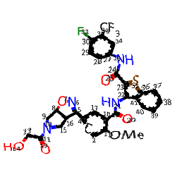 COc1ccc(C2=NOC3CN(C(=O)CO)CC23)cc1C(=O)Nc1c(C(=O)Nc2ccc(F)c(C(F)(F)F)c2)sc2ccccc12